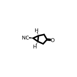 N#C[C@H]1[C@H]2CC(=O)C[C@@H]12